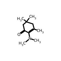 CC1=C(N(C)C)C(=O)CC(C)(C)C1